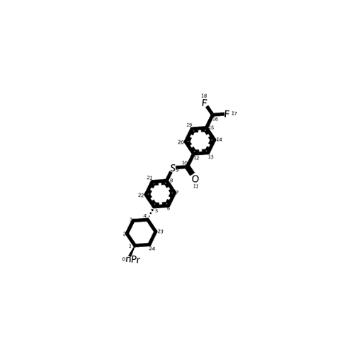 CCC[C@H]1CC[C@H](c2ccc(SC(=O)c3ccc(C(F)F)cc3)cc2)CC1